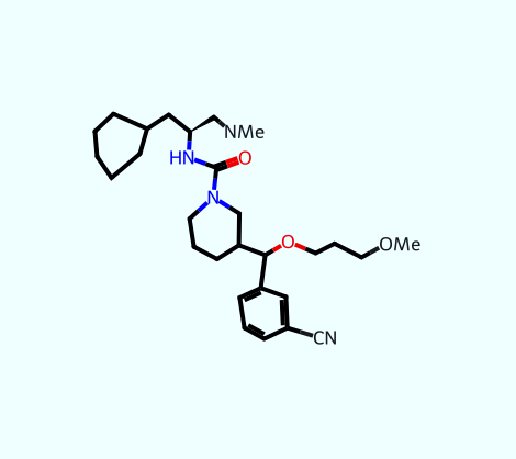 CNC[C@H](CC1CCCCC1)NC(=O)N1CCCC(C(OCCCOC)c2cccc(C#N)c2)C1